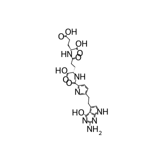 Nc1nc(O)c2c(CCc3ccc(C(=O)N[C@@H](CCC(=O)N[C@@H](CCC(=O)O)C(=O)O)C(=O)O)nc3)c[nH]c2n1